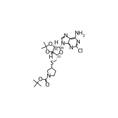 CC(C)(C)OC(=O)N1CCC(SC[C@H]2O[C@@H](n3cnc4c(N)nc(Cl)nc43)[C@@H]3OC(C)(C)O[C@H]32)C1